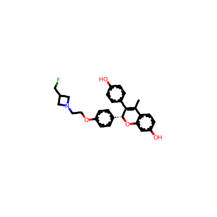 CC1=C(c2ccc(O)cc2)[C@@H](c2ccc(OCCN3CC(CF)C3)cc2)Oc2cc(O)ccc21